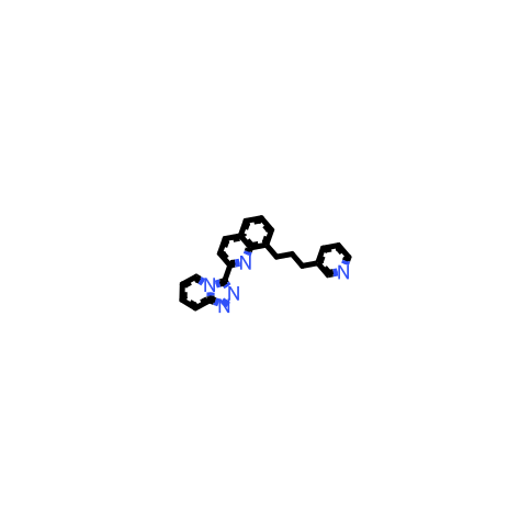 c1cncc(CCCc2cccc3ccc(-c4nnc5ccccn45)nc23)c1